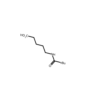 CCCCC(=O)NCCCCC(=O)O